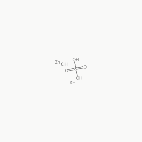 Cl.O=S(=O)(O)O.[KH].[Zn]